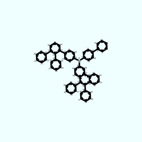 c1ccc(-c2ccc(N(c3ccc(-c4cccc(-c5ccccc5)c4-c4ccccc4)cc3)c3ccc4c(-c5ccccc5)c(-c5ccccc5)c5ccccc5c4c3)cc2)cc1